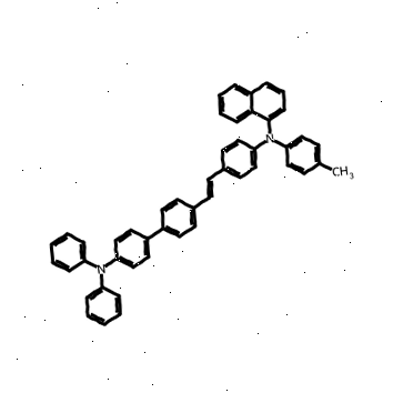 Cc1ccc(N(c2ccc(/C=C/c3ccc(-c4ccc(N(c5ccccc5)c5ccccc5)cc4)cc3)cc2)c2cccc3ccccc23)cc1